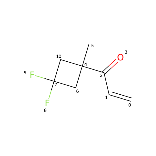 C=CC(=O)C1(C)CC(F)(F)C1